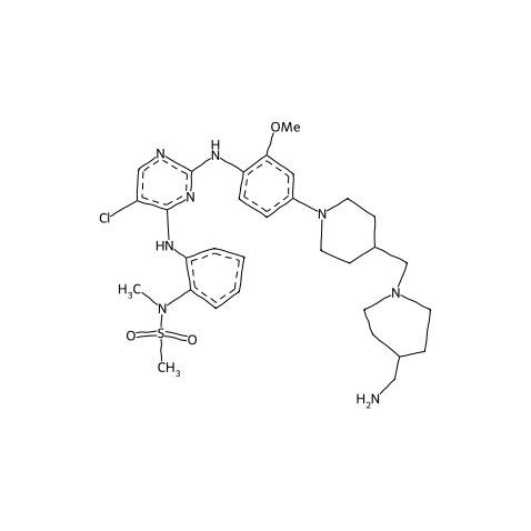 COc1cc(N2CCC(CN3CCC(CN)CC3)CC2)ccc1Nc1ncc(Cl)c(Nc2ccccc2N(C)S(C)(=O)=O)n1